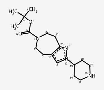 CC(C)(C)OC(=O)N1CCc2cn(C3CCNCC3)nc2CC1